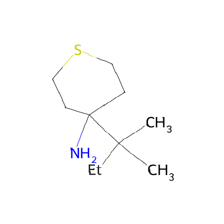 CCC(C)(C)C1(N)CCSCC1